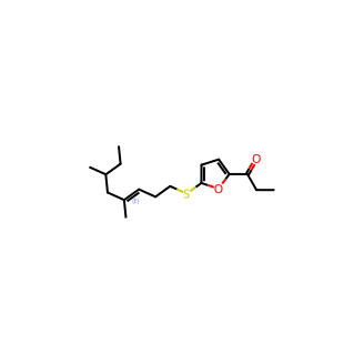 CCC(=O)c1ccc(SCC/C=C(\C)CC(C)CC)o1